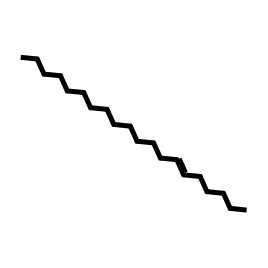 CCCCCC=CCCCCCCCCCCCCC